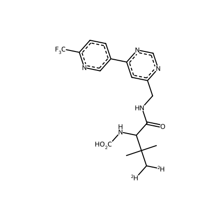 [2H]C([2H])C(C)(C)C(NC(=O)O)C(=O)NCc1cc(-c2ccc(C(F)(F)F)nc2)ncn1